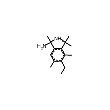 CCc1c(C)cc(C(C)(N)N)c(C(C)(C)C)c1C